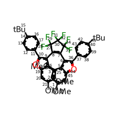 COc1cc(OC)c2c(C3=C(c4c(-c5ccc(C(C)(C)C)cc5)oc5cc(OC)c(OC)cc45)C(F)(F)C(F)(F)C3(F)F)c(-c3ccc(C(C)(C)C)cc3)oc2c1